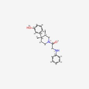 C[C@H]1CN(C(=O)CNc2ccccc2)CC[C@]1(C)c1cccc(O)c1